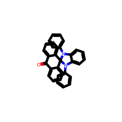 O=C1c2ccccc2C2(c3ccccc31)N(c1ccccc1)c1ccccc1N2c1ccccc1